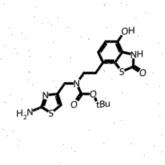 CC(C)(C)OC(=O)N(CCc1ccc(O)c2[nH]c(=O)sc12)Cc1csc(N)n1